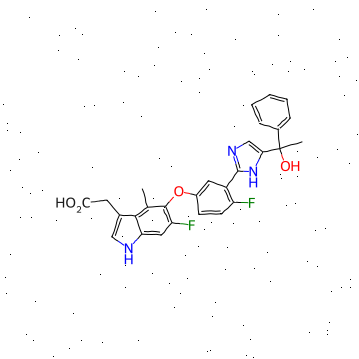 Cc1c(Oc2ccc(F)c(-c3ncc(C(C)(O)c4ccccc4)[nH]3)c2)c(F)cc2[nH]cc(CC(=O)O)c12